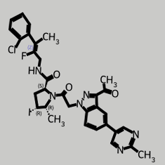 CC(=O)c1nn(CC(=O)N2[C@H](C)[C@H](I)C[C@H]2C(=O)NC/C(F)=C(\C)c2ccccc2Cl)c2ccc(-c3cnc(C)nc3)cc12